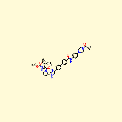 COC(=O)N[C@H](C(=O)N1CCC[C@H]1c1nc(-c2ccc(-c3ccc(C(=O)Nc4ccc(N5CCN(C(=O)C6CC6)CC5)cc4)cc3)cc2)c[nH]1)C(C)C